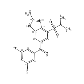 CC(C)S(=O)(=O)c1cc(C(=O)c2cc(F)cc(F)c2)cc2[nH]c(N)nc12